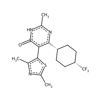 Cc1nc([C@H]2CC[C@@H](C(F)(F)F)CC2)c(-c2sc(C)nc2C)c(=O)[nH]1